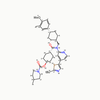 COc1ccc([C@H]2CC[C@H](CN(c3cc(-c4cnc(C(C)(C)C)s4)ccn3)C(=O)[C@H]3CC[C@H](OC(=O)N4CCC(C)CC4)CC3)CC2)cc1C